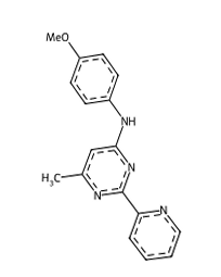 COc1ccc(Nc2cc(C)nc(-c3ccccn3)n2)cc1